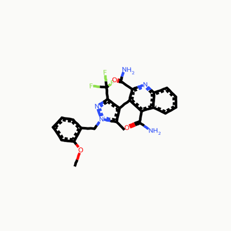 COc1ccccc1Cn1nc(C(F)(F)F)c(-c2c(C(N)=O)nc3ccccc3c2C(N)=O)c1C